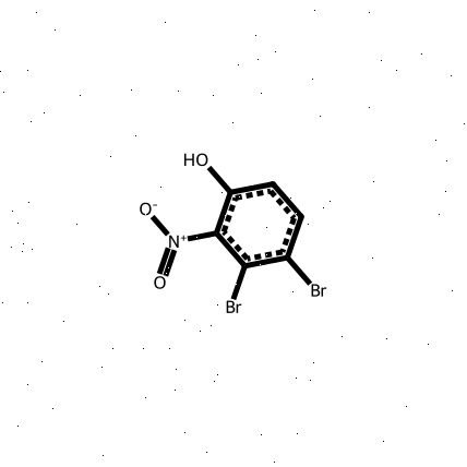 O=[N+]([O-])c1c(O)ccc(Br)c1Br